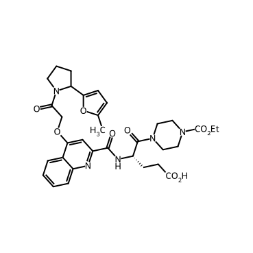 CCOC(=O)N1CCN(C(=O)[C@H](CCC(=O)O)NC(=O)c2cc(OCC(=O)N3CCCC3c3ccc(C)o3)c3ccccc3n2)CC1